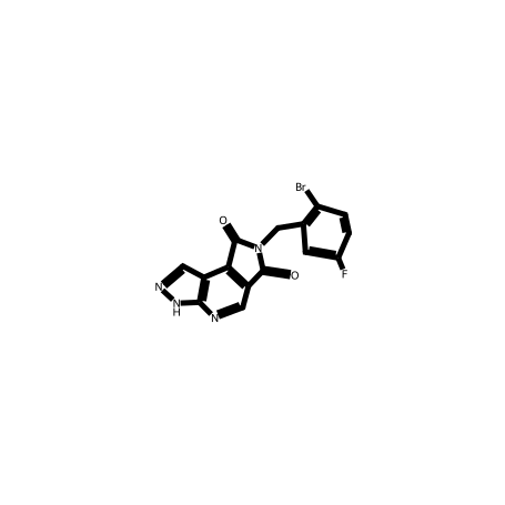 O=C1c2cnc3[nH]ncc3c2C(=O)N1Cc1cc(F)ccc1Br